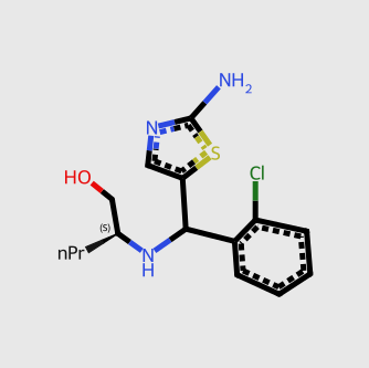 CCC[C@@H](CO)NC(c1cnc(N)s1)c1ccccc1Cl